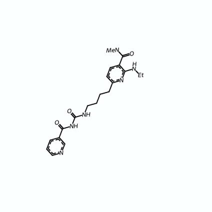 CCNc1nc(CCCCNC(=O)NC(=O)c2cccnc2)ccc1C(=O)NC